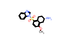 COc1ccc(S(=O)(=O)n2cnc3ccccc32)c2c1C[C@@H](N)CC2